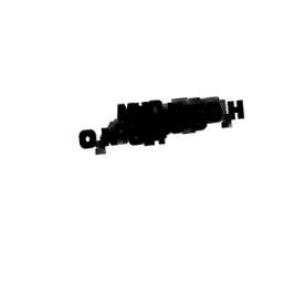 CC[C@H](C)[C@@H]([C@@H](CC(=O)N1CCC[C@H]1[C@H](OC)[C@@H](C)C(=O)N[C@@](C)(Cc1ccccc1)C(=O)O)OC)N(C)C(=O)[C@@H](NC(=O)Oc1ccc([N+](=O)[O-])cc1)C(C)C